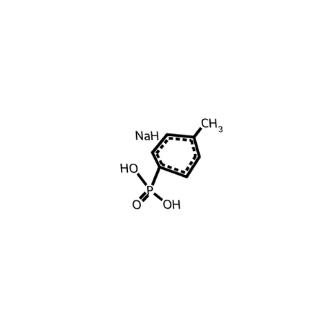 Cc1ccc(P(=O)(O)O)cc1.[NaH]